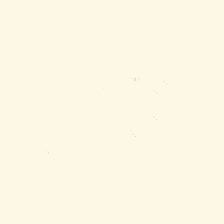 CS(=O)(=O)Cc1cc(Nc2cc(NC3CC3)n3nccc3n2)ccc1C1(CN)CC1